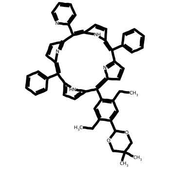 CCc1cc(C2OCC(C)(C)CO2)c(CC)cc1-c1c2nc(c(-c3ccccc3)c3ccc([nH]3)c(-c3ccccn3)c3nc(c(-c4ccccc4)c4ccc1[nH]4)C=C3)C=C2